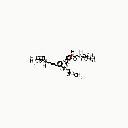 CCOC(=O)CCN1CC(=O)N(Cc2ccc(NC(=O)CCNC(=O)OC(C)(C)C)cc2)c2ccc(CCCCCCNC(=O)OC(C)(C)C)cc2C1=O